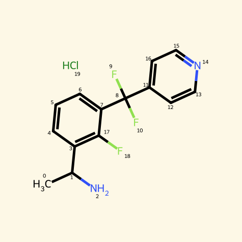 CC(N)c1cccc(C(F)(F)c2ccncc2)c1F.Cl